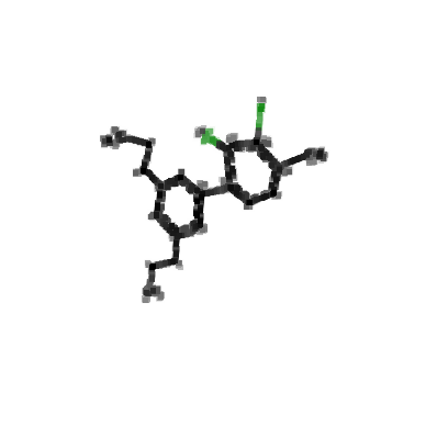 CCCc1cc(CCC)cc(-c2ccc(C)c(F)c2F)c1